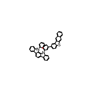 c1ccc(-n2c3ccccc3c3ccc4c5ccccc5n(-c5cccc(-c6ccc7sc8cc9ccccc9cc8c7c6)c5)c4c32)cc1